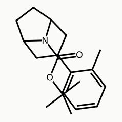 Cc1ccccc1C1CC2CCC(C1)N2C(=O)OC(C)(C)C